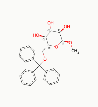 CO[C@H]1O[C@H](COC(c2ccccc2)(c2ccccc2)c2ccccc2)[C@@H](O)[C@H](O)[C@H]1O